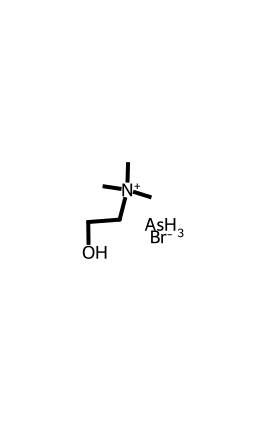 C[N+](C)(C)CCO.[AsH3].[Br-]